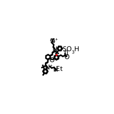 CCN(C)CCC[N+]1=C(/C=C/C2=C(Oc3ccc(CC[C](=O)[Tl])cc3)C(=C/C=C3/N(CCC[N+](C)(C)C)c4ccc(S(=O)(=O)O)cc4C3(C)C)/CCC2)C(C)(C)c2cc(C)ccc21